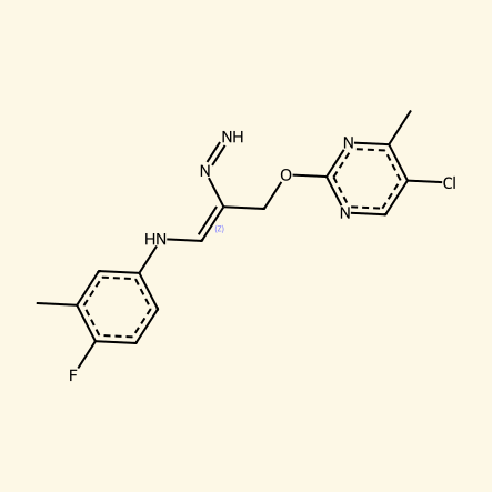 Cc1cc(N/C=C(/COc2ncc(Cl)c(C)n2)N=N)ccc1F